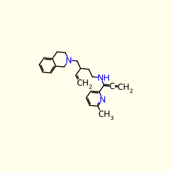 C=C=C(NCCC(C=C)CN1CCc2ccccc2C1)c1cccc(C)n1